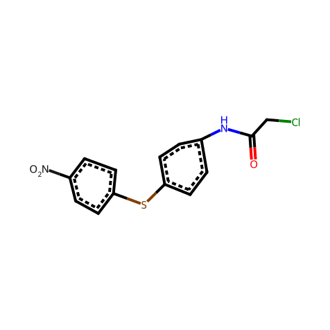 O=C(CCl)Nc1ccc(Sc2ccc([N+](=O)[O-])cc2)cc1